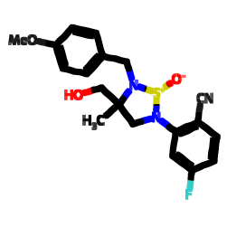 COc1ccc(CN2[S+]([O-])N(c3cc(F)ccc3C#N)CC2(C)CO)cc1